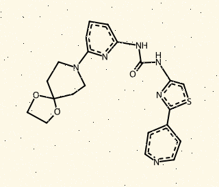 O=C(Nc1cccc(N2CCC3(CC2)OCCO3)n1)Nc1csc(-c2ccncc2)n1